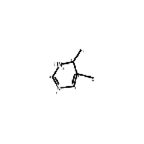 CC1=CN=CNC1C